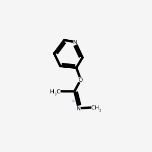 C/N=C(/C)Oc1cccnc1